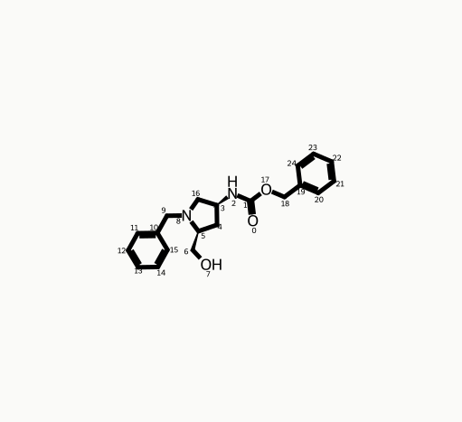 O=C(N[C@H]1C[C@@H](CO)N(Cc2ccccc2)C1)OCc1ccccc1